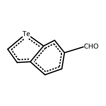 O=Cc1ccc2cc[te]c2c1